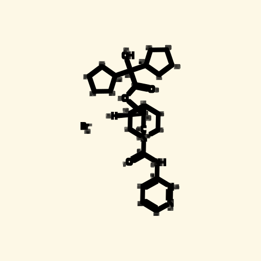 O=C(O[C@H]1C[N+]2(C(=O)Nc3cccnn3)CCC1CC2)C(O)(C1CCCC1)C1CCCC1.[Br-]